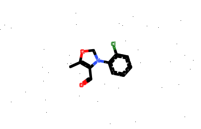 CC1=C(C=O)N(c2ccccc2Cl)CO1